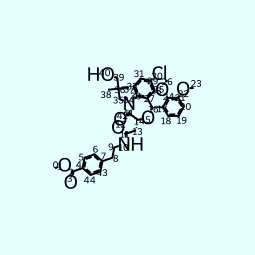 COC(=O)c1ccc(CCNC(=O)C[C@H]2O[C@H](c3cccc(OC)c3OC)c3cc(Cl)ccc3N(CC(C)(C)CO)C2=O)cc1